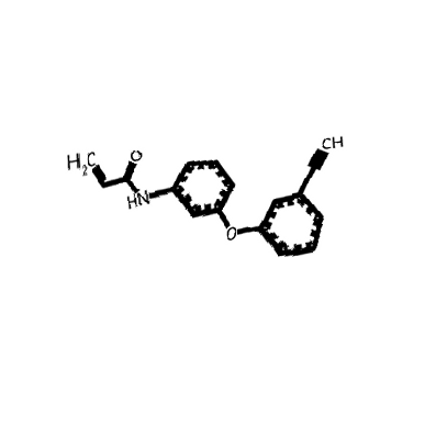 C#Cc1cccc(Oc2cccc(NC(=O)C=C)c2)c1